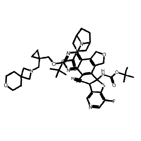 CC(C)(C)OC(=O)NC1(c2c3c(c4c(N5C6CCC5CN(C(=O)OC(C)(C)C)C6)nc(OCC5(CN6CC7(CCOCC7)C6)CC5)nc4c2F)COC3)Sc2c(F)cncc2C1C#N